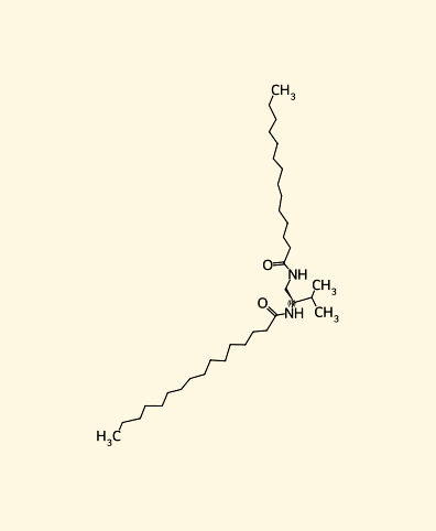 CCCCCCCCCCCCCCCC(=O)N[C@@H](CNC(=O)CCCCCCCCCCCCC)C(C)C